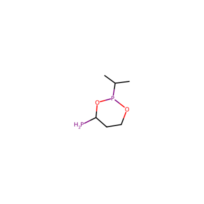 CC(C)P1OCCC(P)O1